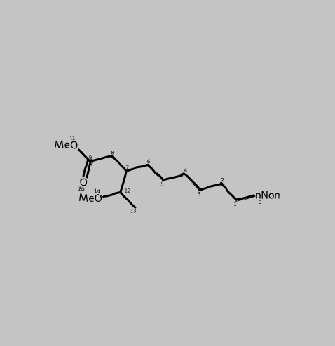 CCCCCCCCCCCCCCCC(CC(=O)OC)C(C)OC